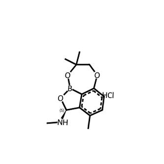 CN[C@H]1OB2OC(C)(C)COc3ccc(C)c1c32.Cl